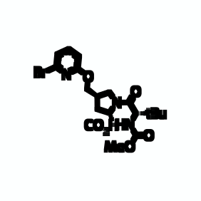 COC(=O)N[C@H](C(=O)N1C[C@H](COc2cccc(Br)n2)C[C@H]1C(=O)O)C(C)(C)C